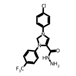 NNC(=O)C1=CN(c2ccc(Cl)cc2)CN1c1ccc(C(F)(F)F)cc1